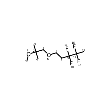 COC(C)(C)COCCC(F)(F)C(C)(F)F